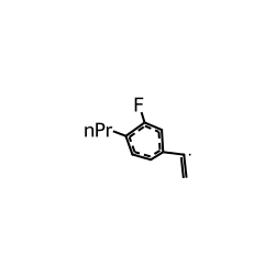 C=[C]c1ccc(CCC)c(F)c1